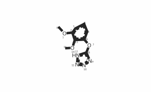 COc1cccc(Oc2nnn[nH]2)c1OC